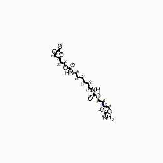 NC1OC/C(=C/COC(=O)NCCCCCCNC(=O)OCC=C2COC(=O)O2)O1